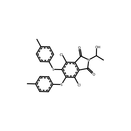 Cc1ccc(Sc2c(Cl)c3c(c(Cl)c2Sc2ccc(C)cc2)C(=O)N(C(C)O)C3=O)cc1